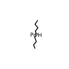 CCCCPCCCC.[Pd]